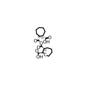 O=C(O)[C@H]1CCCCC[C@H]1C(=O)OC(=O)[C@H]1CCCCC[C@H]1C(=O)O